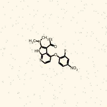 CCC(=O)c1c(N(C)C)[nH]c2nccc(Oc3ccc([N+](=O)[O-])cc3F)c12